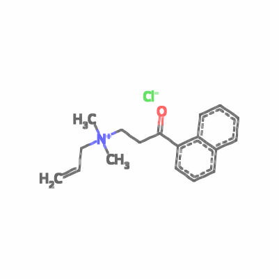 C=CC[N+](C)(C)CCC(=O)c1cccc2ccccc12.[Cl-]